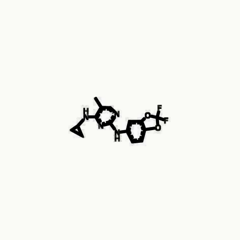 Cc1cnc(Nc2ccc3c(c2)OC(F)(F)O3)nc1NC1CC1